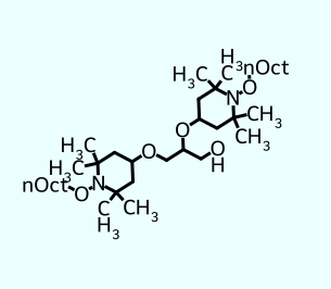 CCCCCCCCON1C(C)(C)CC(OCC(CO)OC2CC(C)(C)N(OCCCCCCCC)C(C)(C)C2)CC1(C)C